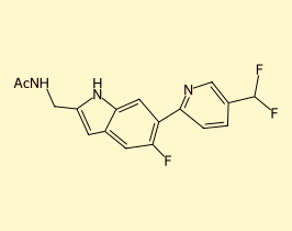 CC(=O)NCc1cc2cc(F)c(-c3ccc(C(F)F)cn3)cc2[nH]1